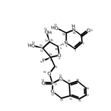 O=C1C=CN([C@@H]2O[C@](F)(COP3(=O)OCc4ccccc4O3)[C@@H](O)[C@H]2O)C(O)N1